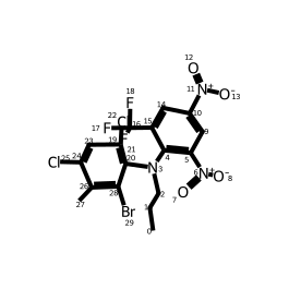 CCCN(c1c([N+](=O)[O-])cc([N+](=O)[O-])cc1C(F)(F)F)c1c(Cl)cc(Cl)c(C)c1Br